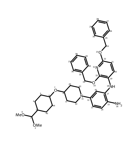 COC(OC)C1CCC(OC2CCN(c3ccc(N)c(Nc4ccc(OCc5ccccc5)nc4OCc4ccccc4)c3)CC2)CC1